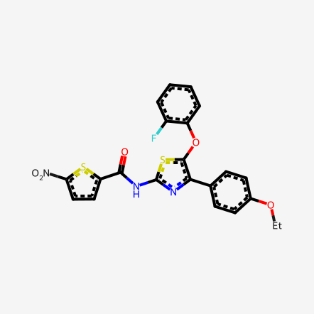 CCOc1ccc(-c2nc(NC(=O)c3ccc([N+](=O)[O-])s3)sc2Oc2ccccc2F)cc1